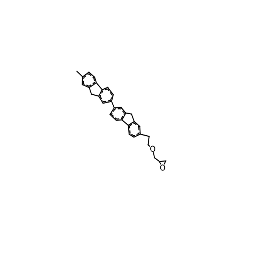 Cc1ccc2c(c1)Cc1cc(-c3ccc4c(c3)Cc3cc(CCOCC5CO5)ccc3-4)ccc1-2